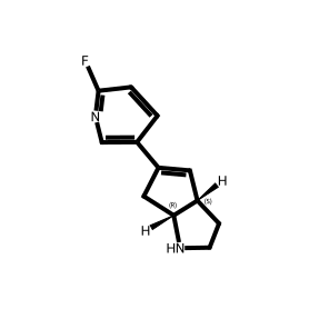 Fc1ccc(C2=C[C@@H]3CCN[C@@H]3C2)cn1